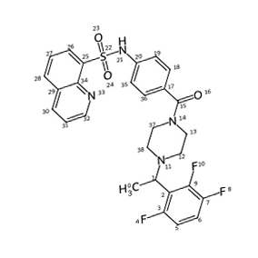 CC(c1c(F)ccc(F)c1F)N1CCN(C(=O)c2ccc(NS(=O)(=O)c3cccc4cccnc34)cc2)CC1